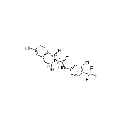 O=C(Nc1ccc(C(F)(F)F)c(Cl)c1)N1[C@@H]2CC[C@H]1c1ccc(Cl)cc1C2